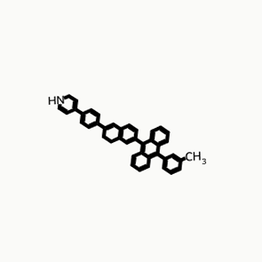 Cc1cccc(-c2c3ccccc3c(-c3ccc4c(c3)CCC(c3ccc(C5=CCNC=C5)cc3)=C4)c3ccccc23)c1